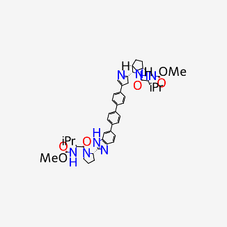 COC(=O)N[C@H](C(=O)N1CCC[C@H]1c1nc2ccc(-c3ccc(-c4ccc(C5=CN=C([C@@H]6[C@H]7CC[C@H](C7)N6C(=O)[C@@H](NC(=O)OC)C(C)C)C5)cc4)cc3)cc2[nH]1)C(C)C